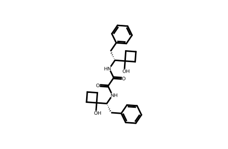 O=C(N[C@H](Cc1ccccc1)C1(O)CCC1)C(=O)N[C@H](Cc1ccccc1)C1(O)CCC1